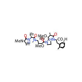 CC[C@H](C)C([C@@H](CC(=O)N1CCC[C@H]1[C@H](OC)[C@@H](C)C(=O)N[C@@H](Cc1ccccc1C)C(=O)O)OC)N(C)C(=O)[C@@H](NC(=O)[C@@H](NC)C(C)C)C(C)C